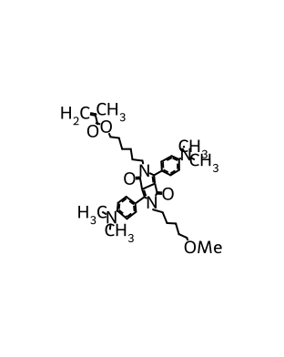 C=C(C)C(=O)OCCCCCCN1C(=O)C2=C(c3ccc(N(C)C)cc3)N(CCCCCCOC)C(=O)C2=C1c1ccc(N(C)C)cc1